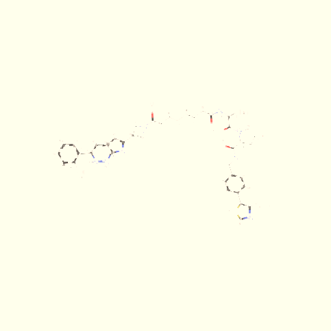 Cc1ncsc1-c1ccc(CNC(=O)[C@@H]2C[C@@H](O)CN2C(=O)C(NC(=O)CCCCCCC(=O)N2CC(c3cc4cc(-c5ccccc5O)nnc4[nH]3)C2)C(C)(C)C)cc1